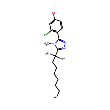 CCCC(CCC)(CCCCCCC(C)=O)c1nnc(-c2ccc(O)cc2Cl)n1C